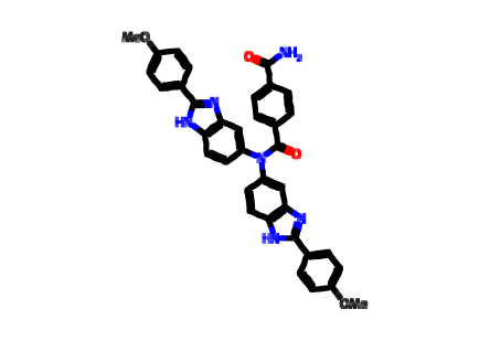 COc1ccc(-c2nc3cc(N(C(=O)c4ccc(C(N)=O)cc4)c4ccc5[nH]c(-c6ccc(OC)cc6)nc5c4)ccc3[nH]2)cc1